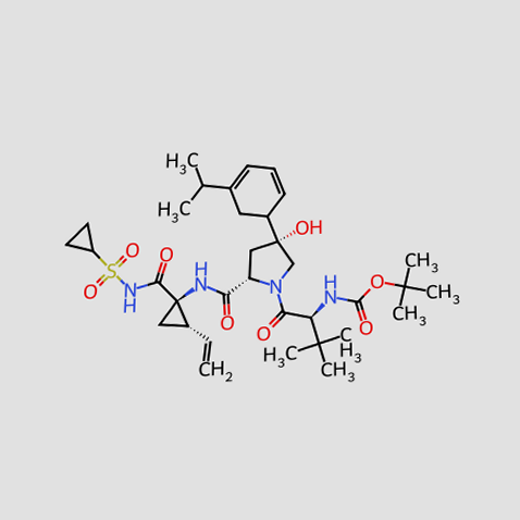 C=C[C@@H]1C[C@]1(NC(=O)[C@@H]1C[C@@](O)(C2C=CC=C(C(C)C)C2)CN1C(=O)[C@@H](NC(=O)OC(C)(C)C)C(C)(C)C)C(=O)NS(=O)(=O)C1CC1